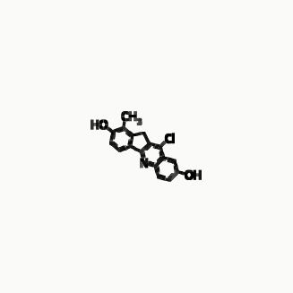 Cc1c(O)ccc2c1Cc1c-2nc2ccc(O)cc2c1Cl